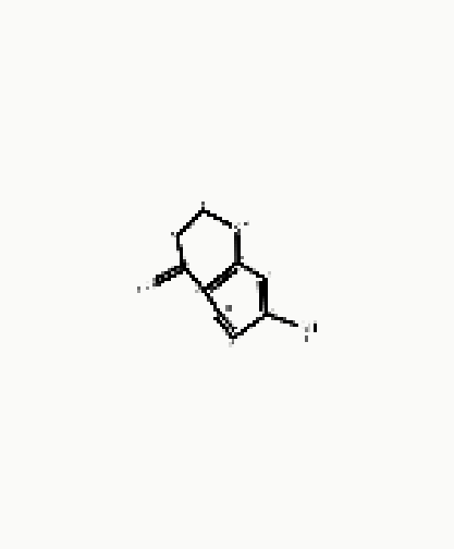 O=C1CCSc2cc(S)ccc21